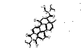 Cc1ccc2c3c(Br)cc4c5c(ccc(c6c(Br)cc(C(=O)N(C=O)C(C)C)c1c26)c53)C(=O)N(C(C)C)C4=O